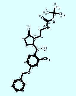 Cc1cc(OCc2ccccc2)ccc1[C@@H](O)C1CCC(=O)N1CCNC(=O)OC(C)(C)C